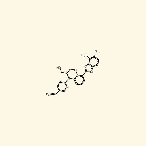 C=Cc1ccc(N2c3cccc(-c4nc5c(C)c(C)ccc5[nH]4)c3OC[C@@H]2CO)nc1